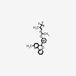 C/C(=C\N=C(/C)OC1CC2CCC1N(C(=O)c1ccc(C)nc1-c1ccccn1)C2)C(F)(F)F